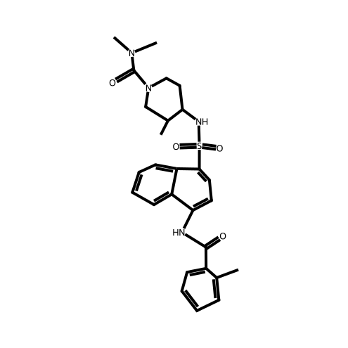 Cc1ccccc1C(=O)Nc1ccc(S(=O)(=O)NC2CCN(C(=O)N(C)C)CC2C)c2ccccc12